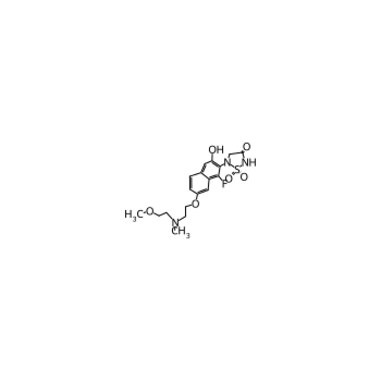 COCCN(C)CCOc1ccc2cc(O)c(N3CC(=O)NS3(=O)=O)c(F)c2c1